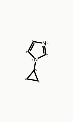 [c]1nccn1C1CC1